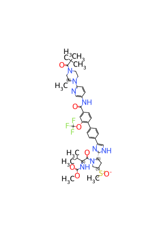 COC(=O)N[C@H](C(=O)N1C[C@@H]([S+](C)[O-])C[C@H]1c1nc(-c2ccc(-c3ccc(C(=O)Nc4ccc(N5CCN(C(=O)C(C)(C)C)C[C@H]5C)nc4)cc3OC(F)(F)F)cc2)c[nH]1)C(C)C